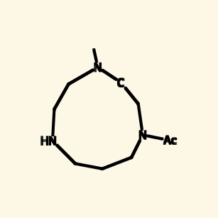 CC(=O)N1CCCNCCN(C)CC1